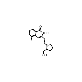 Cc1cccc2c(=O)oc(CCN3CCCC3CO)cc12.Cl